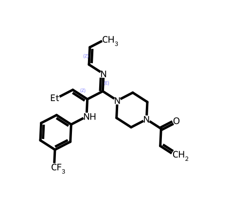 C=CC(=O)N1CCN(C(=N/C=C\C)/C(=C/CC)Nc2cccc(C(F)(F)F)c2)CC1